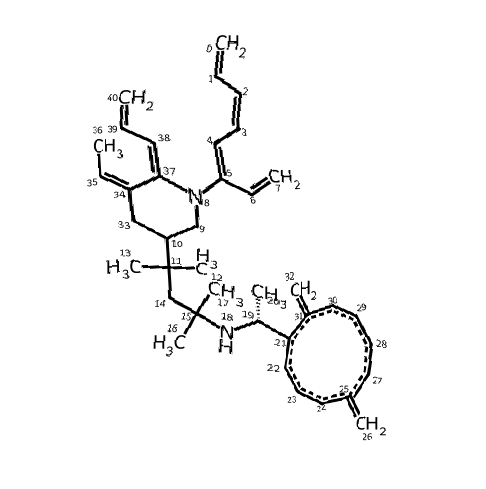 C=C/C=C\C=C(/C=C)N1CC(C(C)(C)CC(C)(C)N[C@H](C)c2cccc(=C)ccccc2=C)CC(=C/C)/C1=C\C=C